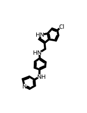 Clc1ccc2c(CNc3ccc(Nc4ccncc4)cc3)c[nH]c2c1